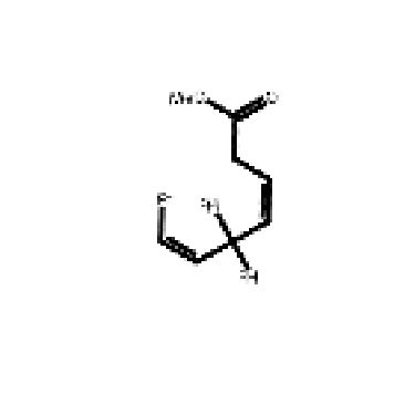 [2H]C([2H])(/C=C\CC)/C=C\CC(=O)OC